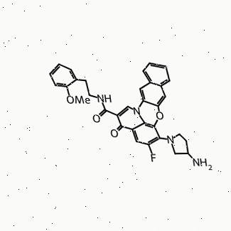 COc1ccccc1CCNC(=O)c1cn2c3c(c(N4CCC(N)C4)c(F)cc3c1=O)Oc1cc3ccccc3cc1-2